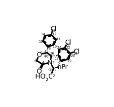 CCC[C@@H](C(=O)O)N1C(=O)CO[C@H](c2ccc(Cl)cc2)[C@@H]1c1ccc(Cl)c(Cl)c1